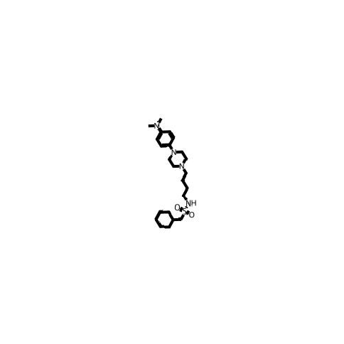 CN(C)c1ccc(N2CCN(CCCCNS(=O)(=O)CC3CCCCC3)CC2)cc1